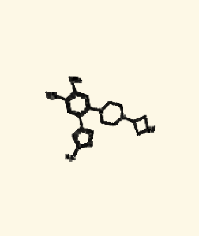 COc1cc(N2CCN(C3CNC3)CC2)c(-c2cnn(C)c2)cc1[N+](=O)[O-]